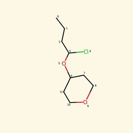 CCCC(Cl)OC1CCOCC1